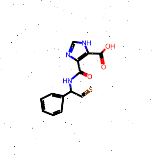 O=C(NC(C=S)c1ccccc1)c1nc[nH]c1C(=O)O